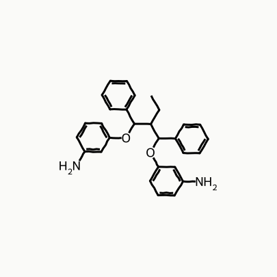 CCC(C(Oc1cccc(N)c1)c1ccccc1)C(Oc1cccc(N)c1)c1ccccc1